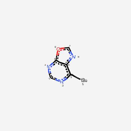 CC(C)(C)c1ncnc2ocnc12